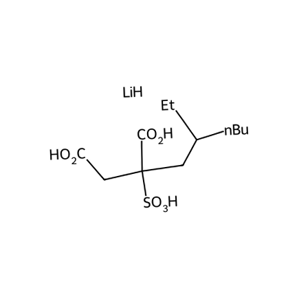 CCCCC(CC)CC(CC(=O)O)(C(=O)O)S(=O)(=O)O.[LiH]